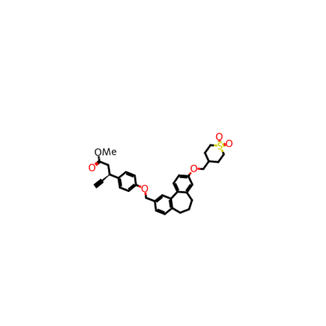 C#C[C@@H](CC(=O)OC)c1ccc(OCc2ccc3c(c2)-c2ccc(OCC4CCS(=O)(=O)CC4)cc2CCC3)cc1